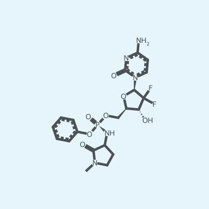 CN1CCC(N[P@@](=O)(OC[C@H]2O[C@@H](n3ccc(N)nc3=O)C(F)(F)[C@@H]2O)Oc2ccccc2)C1=O